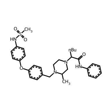 CCCCC(C(=O)Nc1ccccc1)N1CCN(Cc2ccc(Oc3ccc(NS(C)(=O)=O)cc3)cc2)C(C)C1